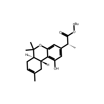 CCCCOC(=O)[C@H](C)c1cc(O)c2c(c1)OC(C)(C)[C@@H]1CC=C(C)C[C@@H]21